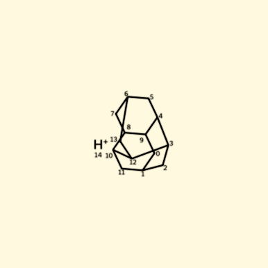 C1C2CC3C4CC5CC(C14)C(C2)C3C5.[H+]